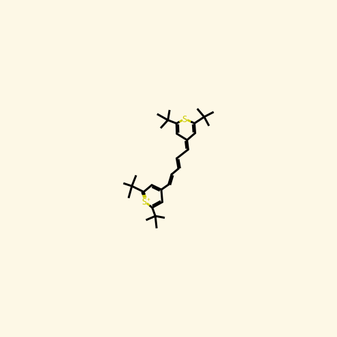 CC(C)(C)C1=CC(=C/C=C/C=C/c2cc(C(C)(C)C)[s+]c(C(C)(C)C)c2)C=C(C(C)(C)C)S1